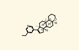 CCc1cncc(C2=CC[C@H]3[C@@H]4CC[C@@H]5OCCC[C@]5(C)[C@H]4CC[C@]23C)c1